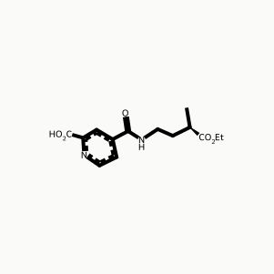 CCOC(=O)[C@H](C)CCNC(=O)c1ccnc(C(=O)O)c1